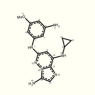 COc1cc(N)cc(Nc2cc(NC3CC3)c3ncc(N)n3n2)c1